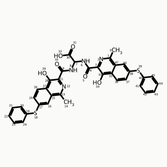 Cc1nc(C(=O)NC(NC(=O)c2nc(C)c3cc(Sc4ccccc4)ccc3c2O)C(=O)O)c(O)c2ccc(Sc3ccccc3)cc12